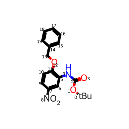 CC(C)(C)OC(=O)Nc1cc([N+](=O)[O-])ccc1OCc1ccccc1